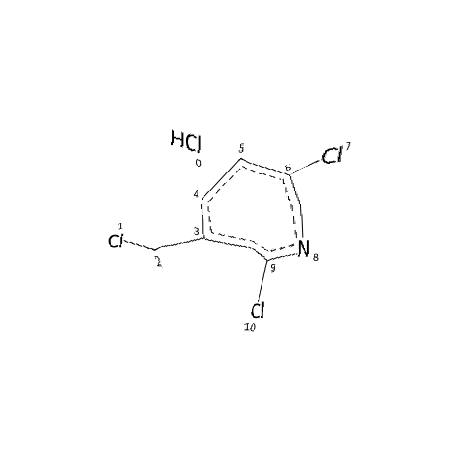 Cl.ClCc1ccc(Cl)nc1Cl